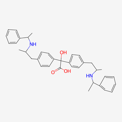 CC(Cc1ccc(C(O)(C(=O)O)c2ccc(CC(C)NC(C)c3ccccc3)cc2)cc1)NC(C)c1ccccc1